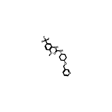 COc1ccc(C(F)(F)F)cc1NC(=O)N[C@H]1CC[C@H](OCc2cccnc2)CC1